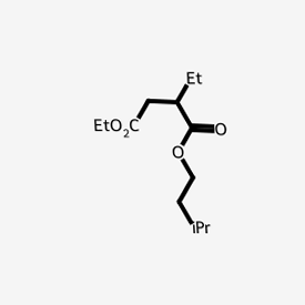 CCOC(=O)CC(CC)C(=O)OCCC(C)C